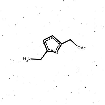 CC(=O)OCc1ccc(CN)o1